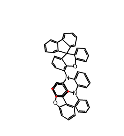 c1ccc(N(c2ccccc2)c2ccccc2N(c2ccc3oc4ccccc4c3c2)c2cccc3c2Oc2ccccc2C32c3ccccc3-c3ccccc32)cc1